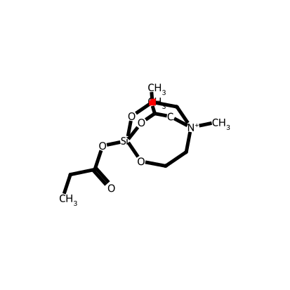 CCC(=O)O[Si]12OCC[N+](C)(CC(C)O1)CC(C)O2